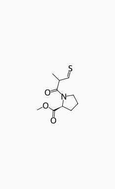 COC(=O)[C@@H]1CCCN1C(=O)C(C)C=S